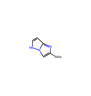 CNc1cn2[nH]ccc2n1